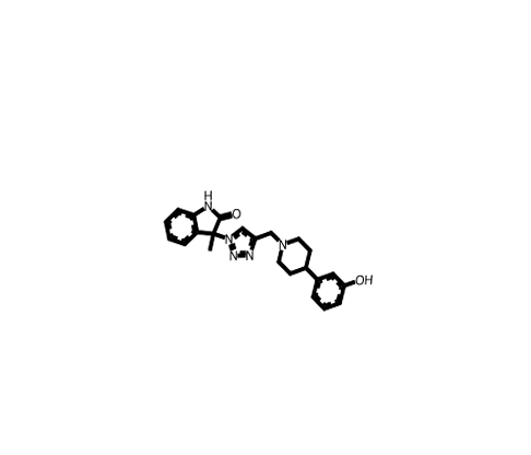 CC1(n2cc(CN3CCC(c4cccc(O)c4)CC3)nn2)C(=O)Nc2ccccc21